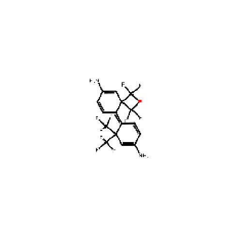 NC1=CC(C(F)(F)F)(C(F)(F)F)/C(=C2\C=CC(N)=CC2(C(F)(F)F)C(F)(F)F)C=C1